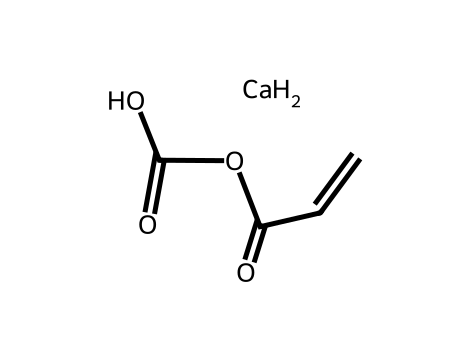 C=CC(=O)OC(=O)O.[CaH2]